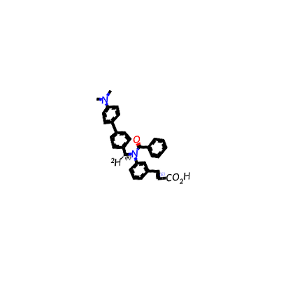 [2H][C@H](c1ccc(-c2ccc(N(C)C)cc2)cc1)N(C(=O)c1ccccc1)c1cccc(/C=C/C(=O)O)c1